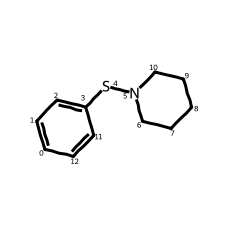 c1ccc(SN2CCCCC2)cc1